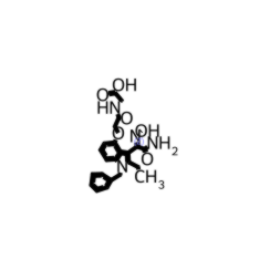 CCc1c(/C(=N/O)C(N)=O)c2c(OCC(=O)NCC(=O)O)cccc2n1Cc1ccccc1